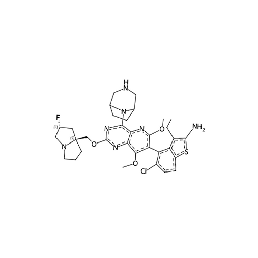 CCc1c(N)sc2ccc(Cl)c(-c3c(OC)nc4c(N5C6CCC5CNC6)nc(OC[C@@]56CCCN5C[C@H](F)C6)nc4c3OC)c12